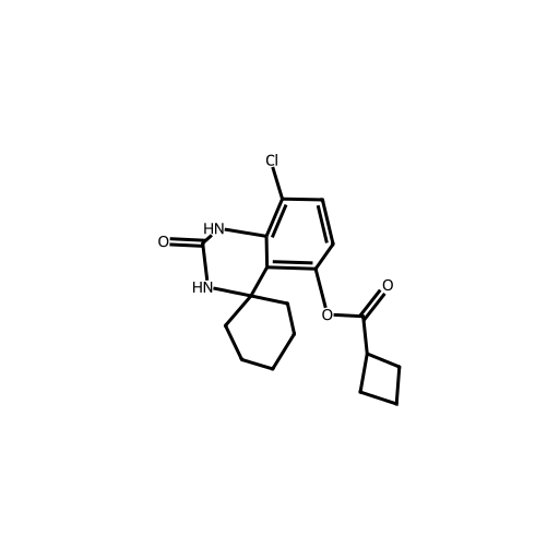 O=C1Nc2c(Cl)ccc(OC(=O)C3CCC3)c2C2(CCCCC2)N1